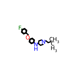 CC(C)CCN1CCC(Nc2ccc(OCc3ccc(F)cc3)cc2)CC1